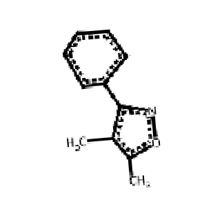 Cc1onc(-c2[c]cccc2)c1C